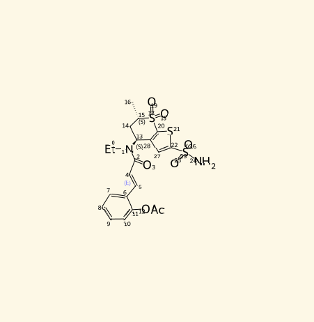 CCN(C(=O)/C=C/c1ccccc1OC(C)=O)[C@H]1C[C@H](C)S(=O)(=O)c2sc(S(N)(=O)=O)cc21